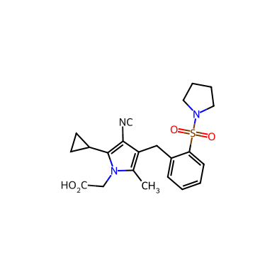 [C-]#[N+]c1c(Cc2ccccc2S(=O)(=O)N2CCCC2)c(C)n(CC(=O)O)c1C1CC1